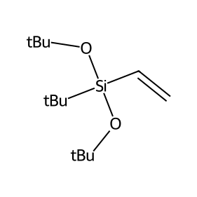 C=C[Si](OC(C)(C)C)(OC(C)(C)C)C(C)(C)C